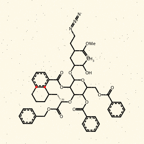 COC(=O)C(CCN=[N+]=[N-])CC(OC1OC(COC(=O)c2ccccc2)C(OC(=O)c2ccccc2)C(O[C@@H](CC2CCCCC2)C(=O)OCc2ccccc2)C1OC(=O)c1ccccc1)C(C)O